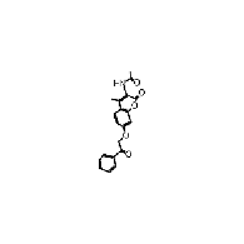 CC(=O)Nc1c(C)c2ccc(OCC(=O)c3ccccc3)cc2oc1=O